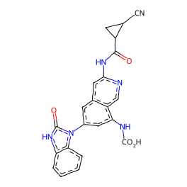 N#CC1CC1C(=O)Nc1cc2cc(-n3c(=O)[nH]c4ccccc43)cc(NC(=O)O)c2cn1